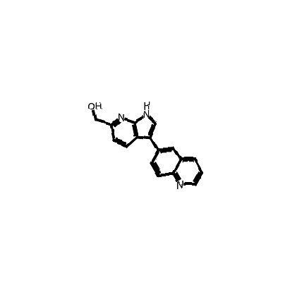 OCc1ccc2c(-c3ccc4ncccc4c3)c[nH]c2n1